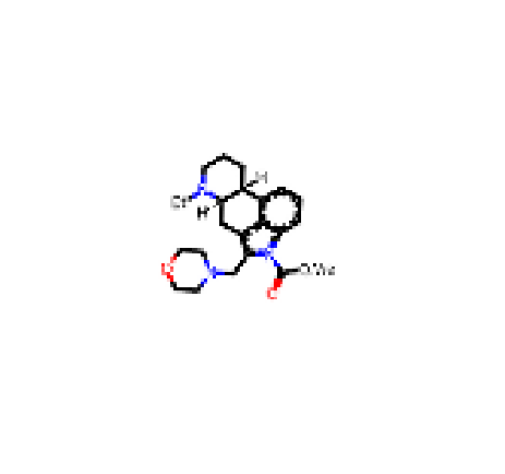 CCN1CCC[C@@H]2c3cccc4c3c(c(CN3CCOCC3)n4C(=O)OC)C[C@H]21